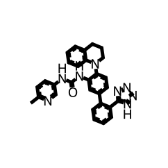 Cc1ccc(NC(=O)Nc2cc(-c3ccccc3-c3nnn[nH]3)ccc2N2CCCc3ccccc32)cn1